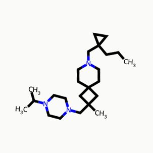 CCCC1(CN2CCC3(CC2)CC(C)(CN2CCN(C(C)C)CC2)C3)CC1